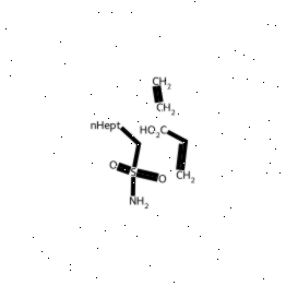 C=C.C=CC(=O)O.CCCCCCCCS(N)(=O)=O